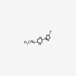 C/N=C/c1cnc(-n2cc(F)cn2)cn1